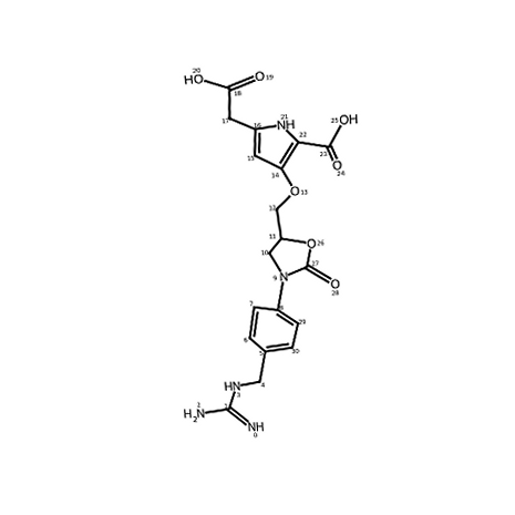 N=C(N)NCc1ccc(N2CC(COc3cc(CC(=O)O)[nH]c3C(=O)O)OC2=O)cc1